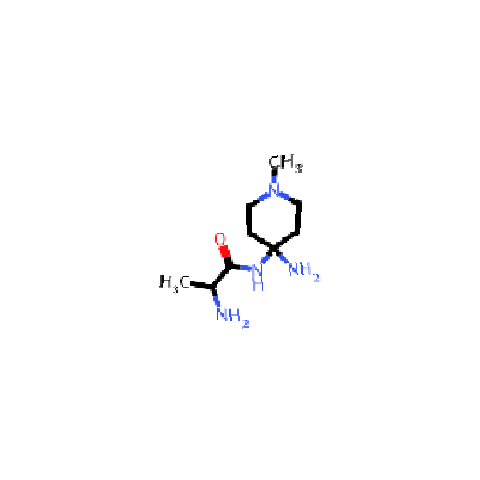 CC(N)C(=O)NC1(N)CCN(C)CC1